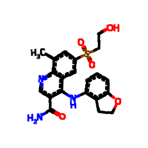 Cc1cc(S(=O)(=O)CCO)cc2c(Nc3cccc4c3CCO4)c(C(N)=O)cnc12